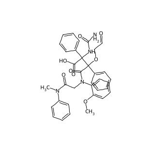 COc1ccccc1N(CC(=O)N(C)c1ccccc1)C(=O)C(OCC=O)(c1ccccc1)C(NC(N)=O)(C(=O)O)c1ccccc1